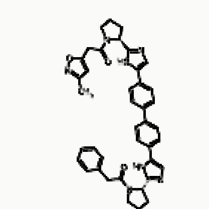 Cc1cc(CC(=O)N2CCC[C@H]2c2ncc(-c3ccc(-c4ccc(-c5cnc([C@@H]6CCCN6C(=O)Cc6ccccc6)[nH]5)cc4)cc3)[nH]2)on1